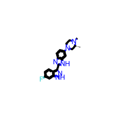 C[C@@H]1CN(c2ccc3nc(-c4n[nH]c5cc(F)ccc45)[nH]c3c2)CCN1C